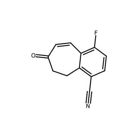 N#Cc1ccc(F)c2c1CCC(=O)C=C2